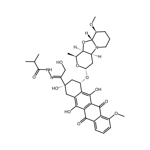 COc1cccc2c1C(=O)c1c(O)c3c(c(O)c1C2=O)C[C@@](O)(/C(CO)=N/NC(=O)C(C)C)C[C@@H]3O[C@H]1C[C@H]2[C@H](O[C@@H]3[C@@H](OC)CCCN32)[C@H](C)O1